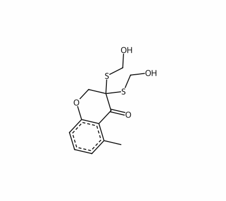 Cc1cccc2c1C(=O)C(SCO)(SCO)CO2